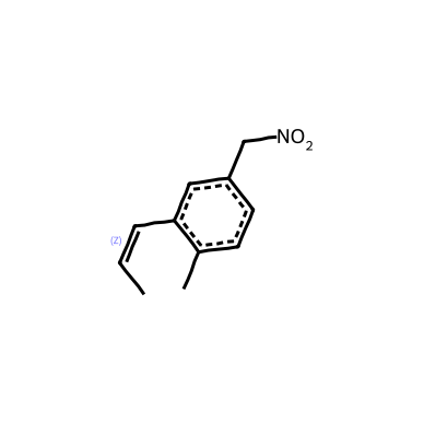 C/C=C\c1cc(C[N+](=O)[O-])ccc1C